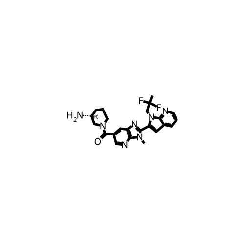 Cn1c(-c2cc3cccnc3n2CC(C)(F)F)nc2cc(C(=O)N3CCC[C@@H](N)C3)cnc21